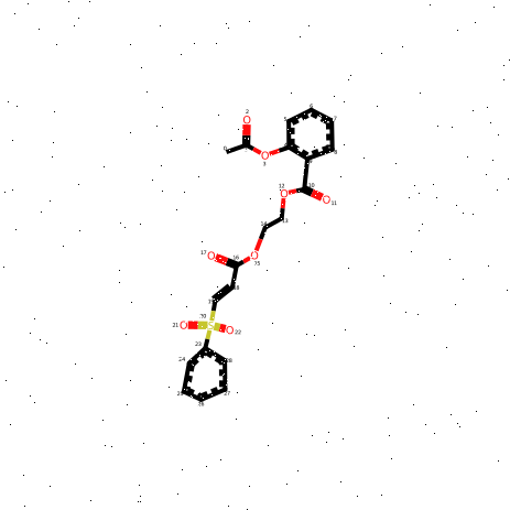 CC(=O)Oc1ccccc1C(=O)OCCOC(=O)C=CS(=O)(=O)c1ccccc1